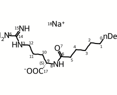 CCCCCCCCCCCCCCCC(=O)N[C@@H](CCCNC(=N)N)C(=O)[O-].[Na+]